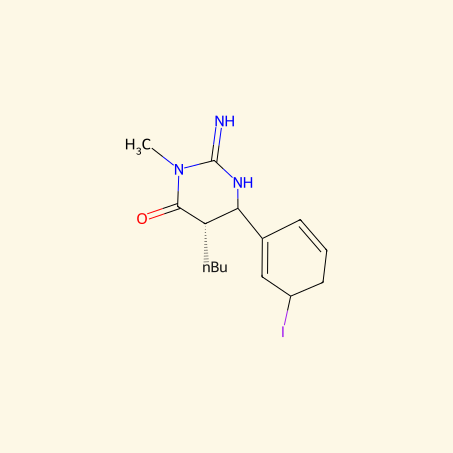 CCCC[C@@H]1C(=O)N(C)C(=N)NC1C1=CC(I)CC=C1